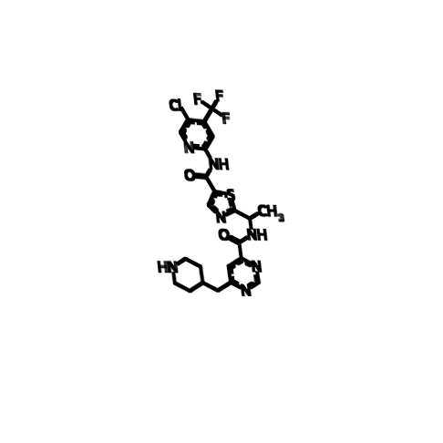 CC(NC(=O)c1cc(CC2CCNCC2)ncn1)c1ncc(C(=O)Nc2cc(C(F)(F)F)c(Cl)cn2)s1